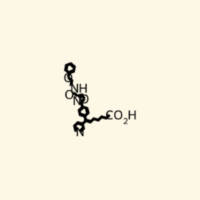 O=C(O)CCCC/C=C(\c1ccc(-c2nc(C(=O)NCCOc3ccccc3)co2)cc1)c1cccnc1